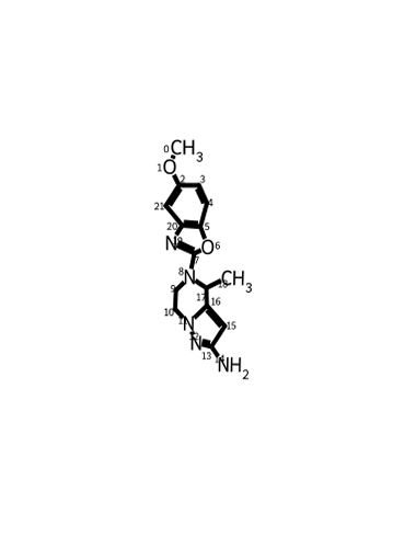 COc1ccc2oc(N3CCn4nc(N)cc4C3C)nc2c1